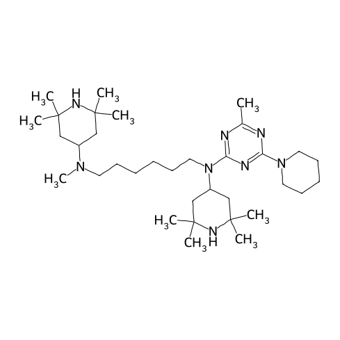 Cc1nc(N2CCCCC2)nc(N(CCCCCCN(C)C2CC(C)(C)NC(C)(C)C2)C2CC(C)(C)NC(C)(C)C2)n1